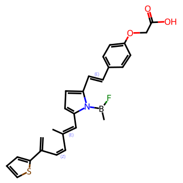 C=C(/C=C\C(C)=C\c1ccc(/C=C/c2ccc(OCC(=O)O)cc2)n1B(C)F)c1cccs1